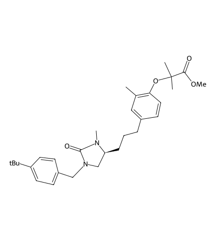 COC(=O)C(C)(C)Oc1ccc(CCC[C@H]2CN(Cc3ccc(C(C)(C)C)cc3)C(=O)N2C)cc1C